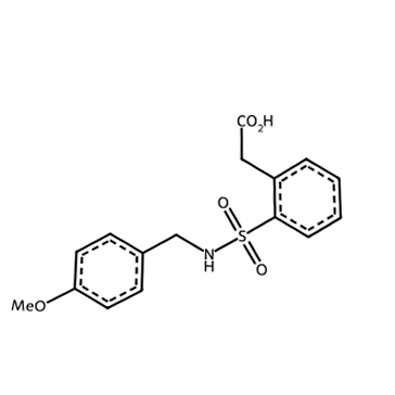 COc1ccc(CNS(=O)(=O)c2ccccc2CC(=O)O)cc1